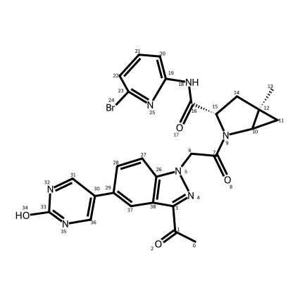 CC(=O)c1nn(CC(=O)N2C3C[C@]3(C)C[C@H]2C(=O)Nc2cccc(Br)n2)c2ccc(-c3cnc(O)nc3)cc12